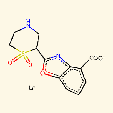 O=C([O-])c1cccc2oc(C3CNCCS3(=O)=O)nc12.[Li+]